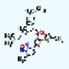 Cc1cc2c(s1)-c1sc(-c3ccc(C)c4nonc34)cc1C(CCC(C)CCCC(C)C)(CCC(C)CCCC(C)C)O2